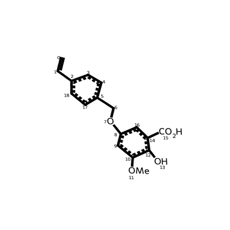 C=Cc1ccc(COc2cc(OC)c(O)c(C(=O)O)c2)cc1